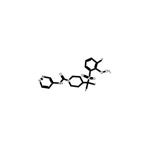 COc1c(F)cccc1S(=O)(=O)C(F)(F)C1CCN(C(=O)Nc2ccnnc2)CC1